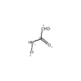 CCNC(=O)[C]=O